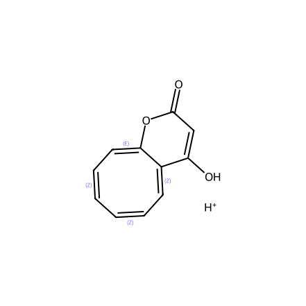 O=c1cc(O)c2/c(o1)=C\C=C/C=C\C=2.[H+]